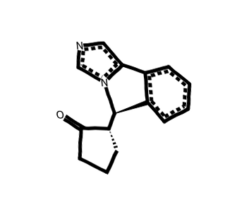 O=C1CCC[C@H]1[C@@H]1c2ccccc2-c2cncn21